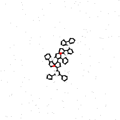 c1ccc(-c2cc(-c3ccc(-c4c(-c5ccccc5-n5c6ccccc6c6c(-n7c8ccccc8c8ccccc87)cccc65)cccc4-n4c5ccccc5c5ccccc54)cc3)nc(-c3ccccc3)n2)cc1